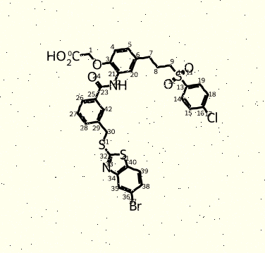 O=C(O)COc1ccc(CCCS(=O)(=O)c2ccc(Cl)cc2)cc1NC(=O)c1cccc(CSc2nc3cc(Br)ccc3s2)c1